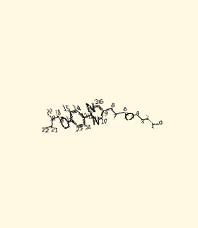 CCCCCOCCCc1cnc(-c2ccc(OCC(C)CC)cc2)nc1